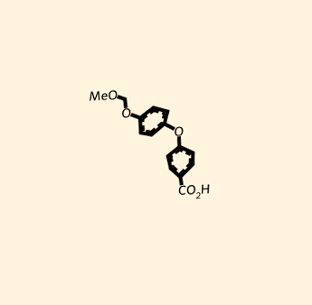 COCOc1ccc(Oc2ccc(C(=O)O)cc2)cc1